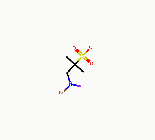 CC(C)(CN(Br)I)S(=O)(=O)O